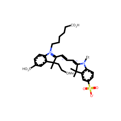 CCN1/C(=C/C=C/C2=[N+](CCCCCC(=O)O)c3ccc(S(=O)(=O)O)cc3C2(C)CCOC)C(C)(C)c2cc(S(=O)(=O)[O-])ccc21